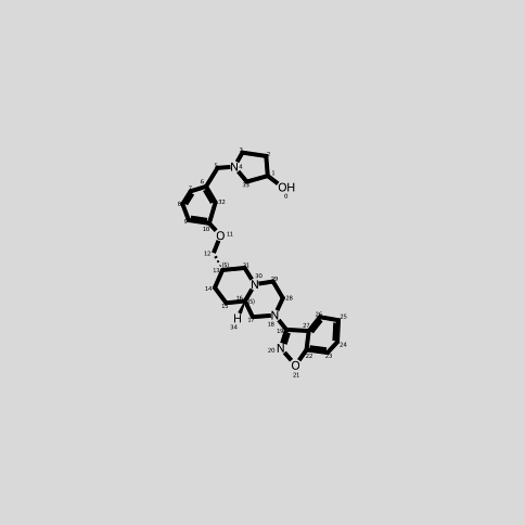 OC1CCN(Cc2cccc(OC[C@H]3CC[C@H]4CN(c5noc6ccccc56)CCN4C3)c2)C1